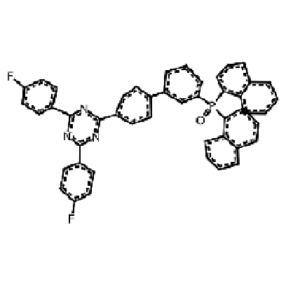 O=P(c1cccc(-c2ccc(-c3nc(-c4ccc(F)cc4)nc(-c4ccc(F)cc4)n3)cc2)c1)(c1cccc2ccccc12)c1cccc2ccccc12